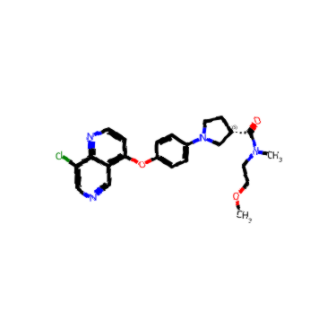 COCCN(C)C(=O)[C@H]1CCN(c2ccc(Oc3ccnc4c(Cl)cncc34)cc2)C1